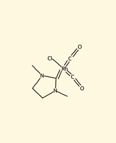 CN1CCN(C)[C]1=[Rh]([Cl])(=[C]=O)=[C]=O